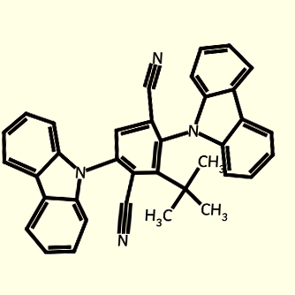 CC(C)(C)c1c(C#N)c(-n2c3ccccc3c3ccccc32)cc(C#N)c1-n1c2ccccc2c2ccccc21